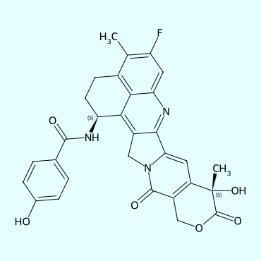 Cc1c(F)cc2nc3c(c4c2c1CC[C@@H]4NC(=O)c1ccc(O)cc1)Cn1c-3cc2c(c1=O)COC(=O)[C@@]2(C)O